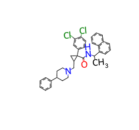 CC(NC(=O)C1(c2ccc(Cl)c(Cl)c2)CC1CN1CCC(c2ccccc2)CC1)c1cccc2ccccc12